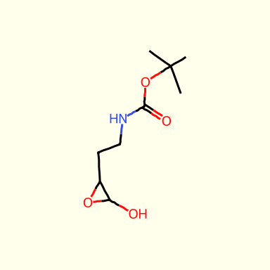 CC(C)(C)OC(=O)NCCC1OC1O